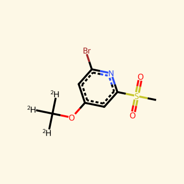 [2H]C([2H])([2H])Oc1cc(Br)nc(S(C)(=O)=O)c1